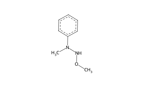 CONN(C)c1ccccc1